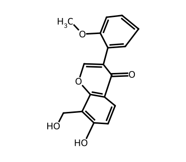 COc1ccccc1-c1coc2c(CO)c(O)ccc2c1=O